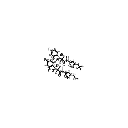 CC(C)(C)Cc1cc(NC(=O)C(C)(C)S(=O)(=O)c2ccc(F)cc2F)on1.CCCc1cc(NC(=O)C(C)(C)S(=O)(=O)c2ccc(F)cc2F)on1